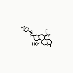 C=C1CCC2C3C(=C(F)F)CC4CC(=NOC5CCNC5)CC[C@]4(CO)C3CC[C@]12C